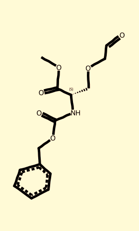 COC(=O)[C@H](COCC=O)NC(=O)OCc1ccccc1